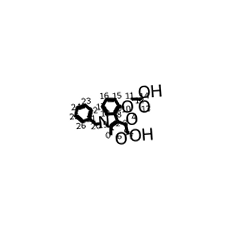 Cc1c(C(=O)C(=O)O)c2c(OCC(=O)O)cccc2n1Cc1ccccc1